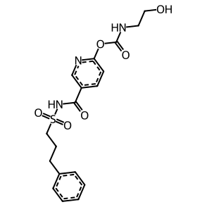 O=C(NCCO)Oc1ccc(C(=O)NS(=O)(=O)CCCc2ccccc2)cn1